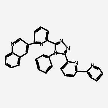 c1ccc(-n2c(-c3cccc(-c4cnc5ccccc5c4)n3)nnc2-c2cccc(-c3ccccn3)n2)cc1